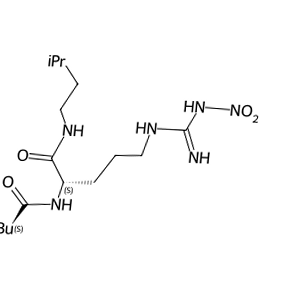 CC[C@H](C)C(=O)N[C@@H](CCCNC(=N)N[N+](=O)[O-])C(=O)NCCC(C)C